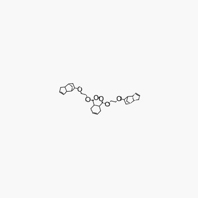 O=C(OCCOC1CC2CC1C1C=CCC21)C1CC=CCC1C(=O)OCCOC1CC2CC1C1C=CCC21